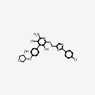 [C-]#[N+]c1c(N)nc(SCc2csc(-c3ccc(Cl)cc3)n2)c(C#N)c1-c1ccc(O[C@H]2COC[C@@H]2O)cc1